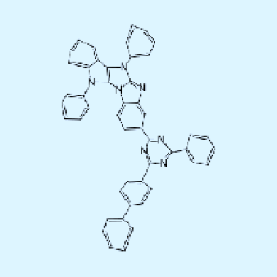 c1ccc(-c2ccc(-c3nc(-c4ccccc4)nc(-c4ccc5c(c4)nc4n(-c6ccccc6)c6c7ccccc7n(-c7ccccc7)c6n54)n3)cc2)cc1